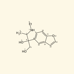 CCNC(C)C(O)(CO)c1ccc2occc2c1